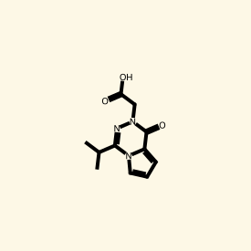 CC(C)c1nn(CC(=O)O)c(=O)c2cccn12